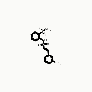 NS(=O)(=O)c1ccccc1NS(=O)(=O)/C=C/c1cccc(C(F)(F)F)c1